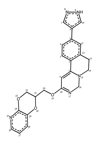 C1=C2c3ccc(-c4cn[nH]c4)cc3CCN2CN=C1OCC1COc2ncccc2O1